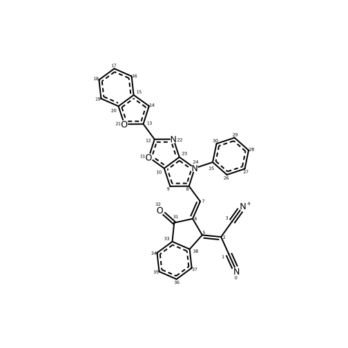 N#CC(C#N)=C1/C(=C/c2cc3oc(-c4cc5ccccc5o4)nc3n2-c2ccccc2)C(=O)c2ccccc21